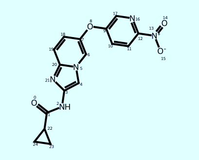 O=C(Nc1cn2cc(Oc3ccc([N+](=O)[O-])nc3)ccc2n1)C1CC1